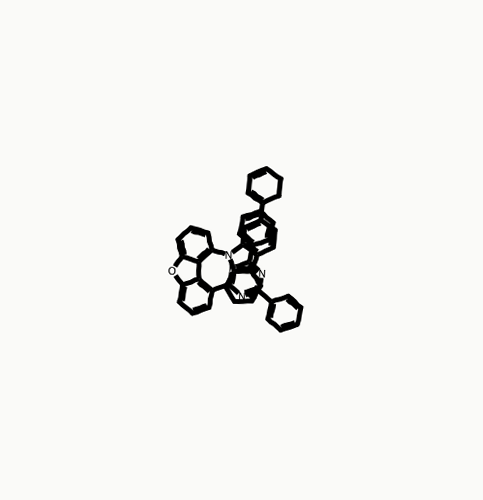 C1=CCCC(c2ccc3c4c(n(-c5cccc6oc7cccc(-c8nc(-c9ccccc9)nc(-c9ccccc9)n8)c7c56)c3c2)CCC=C4)=C1